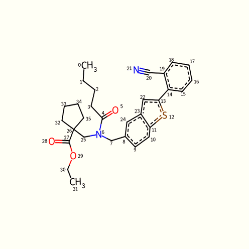 CCCCC(=O)N(Cc1ccc2sc(-c3ccccc3C#N)cc2c1)CC1(C(=O)OCC)CCCC1